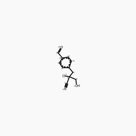 N#CC(Cl)(CO)Cc1ccc(C=O)cc1